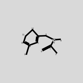 C=C(C)N(C)CC1=CC(C)=CCC1